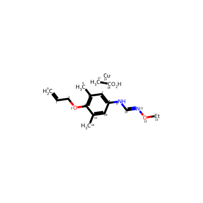 C=CCOc1c(C)cc(N/C=N/OCC)cc1C.CC(=O)O.[Cu]